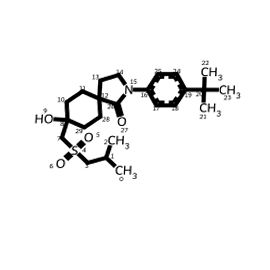 CC(C)CS(=O)(=O)CC1(O)CCC2(CCN(c3ccc(C(C)(C)C)cc3)C2=O)CC1